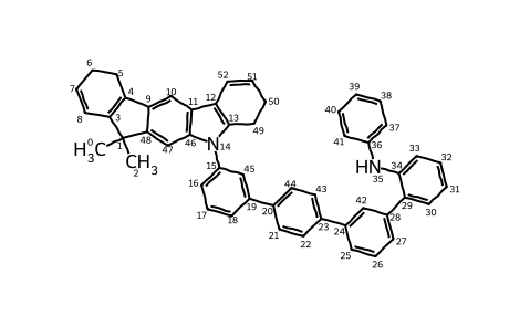 CC1(C)C2=C(CCC=C2)c2cc3c4c(n(-c5cccc(-c6ccc(-c7cccc(-c8ccccc8Nc8ccccc8)c7)cc6)c5)c3cc21)CCC=C4